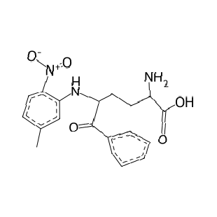 Cc1ccc([N+](=O)[O-])c(NC(CCC(N)C(=O)O)C(=O)c2ccccc2)c1